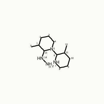 CC1CCCN(C2NCCCC2C)C1NN